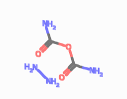 NC(=O)OC(N)=O.NN